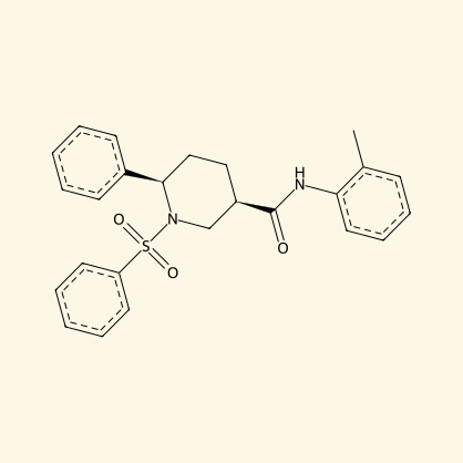 Cc1ccccc1NC(=O)[C@@H]1CC[C@H](c2ccccc2)N(S(=O)(=O)c2ccccc2)C1